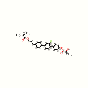 C=C(C)C(=O)OCCCc1ccc(-c2ccc(-c3ccc(OC(=O)C(C)=O)cc3)c(F)c2)cc1